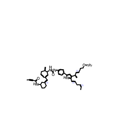 C=C(/C=C/CCOCCC)c1cc(-c2ccc(NC(=O)NC3C=C(/C=C4/CCCC(NC(=O)C#CC)C4)C=CCC3=C)cc2)[nH]c1/C=C/C/C=C\C